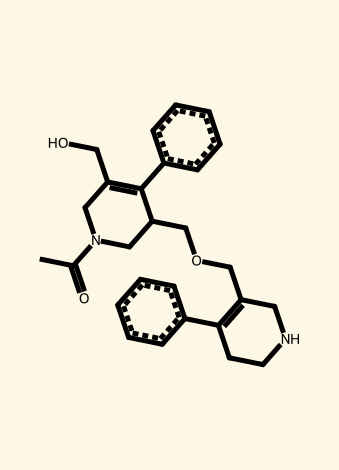 CC(=O)N1CC(CO)=C(c2ccccc2)C(COCC2=C(c3ccccc3)CCNC2)C1